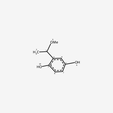 COC(C)c1cc(O)ccc1O